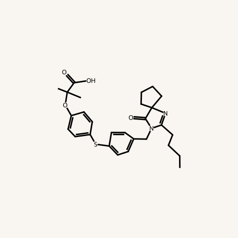 CCCCC1=NC2(CCCC2)C(=O)N1Cc1ccc(Sc2ccc(OC(C)(C)C(=O)O)cc2)cc1